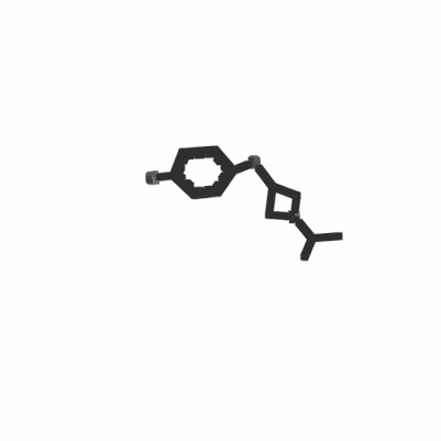 CC(C)N1CC(Oc2ccc(Cl)cc2)C1